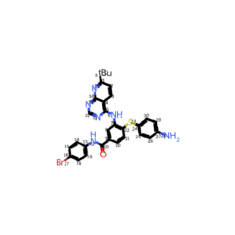 CC(C)(C)c1ccc2c(Nc3cc(C(=O)Nc4ccc(Br)cc4)ccc3Sc3ccc(N)cc3)ncnc2n1